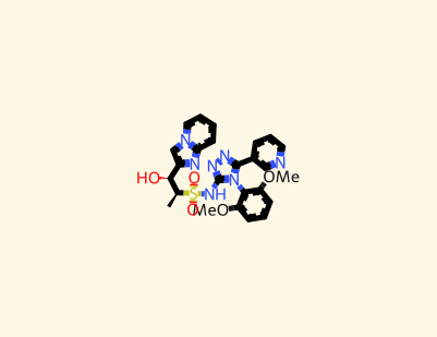 COc1cccc(OC)c1-n1c(NS(=O)(=O)[C@@H](C)[C@H](O)c2cn3ccccc3n2)nnc1-c1cccnc1